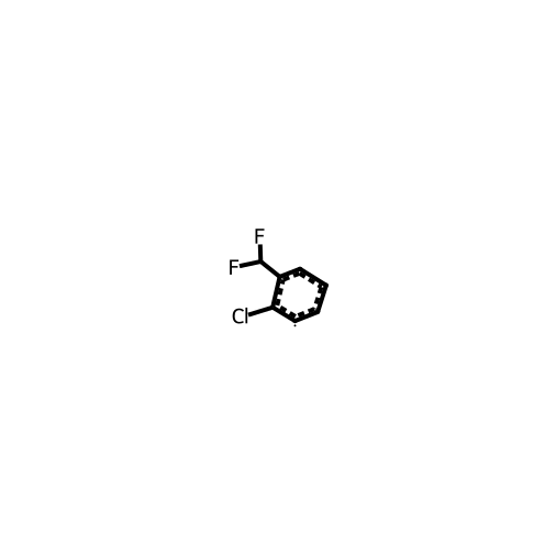 FC(F)c1ccc[c]c1Cl